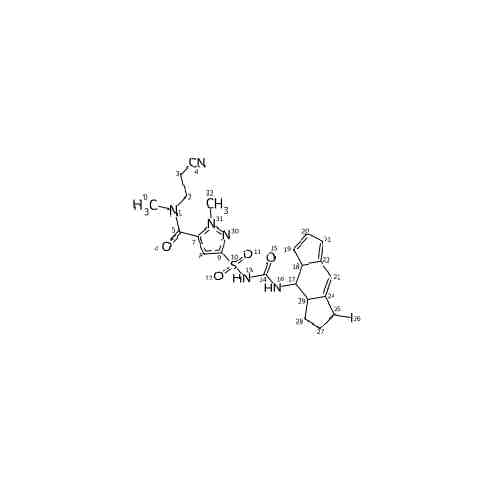 CN(CCC#N)C(=O)c1cc(S(=O)(=O)NC(=O)NC2C3C=CC=C3C=C3C(I)CCC32)nn1C